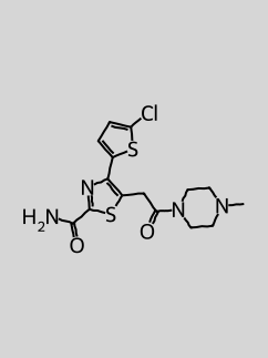 CN1CCN(C(=O)Cc2sc(C(N)=O)nc2-c2ccc(Cl)s2)CC1